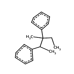 CCC(C)(c1ccccc1)C(C)c1ccccc1